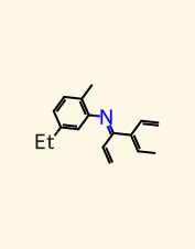 C=CC(=C\C)/C(C=C)=N/c1cc(CC)ccc1C